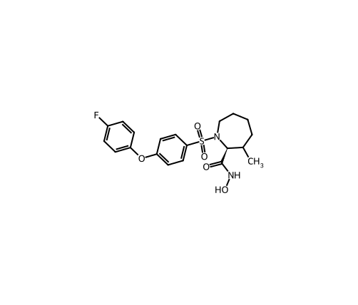 CC1CCCCN(S(=O)(=O)c2ccc(Oc3ccc(F)cc3)cc2)[C@@H]1C(=O)NO